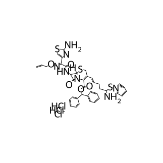 C=CCON=C(C(=O)NC1C(=O)N2C(C(=O)OC(c3ccccc3)c3ccccc3)=C(C=CCCC(N)S[n+]3ccccc3)CS[C@@H]12)c1csc(N)n1.Cl.Cl.[Cl-]